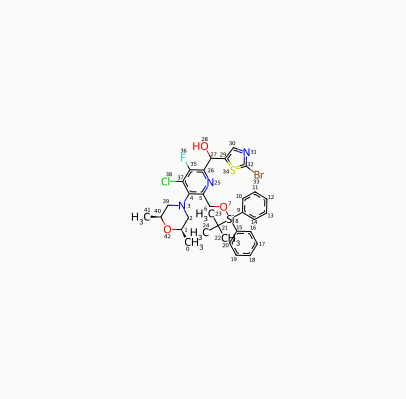 C[C@@H]1CN(c2c(CO[Si](c3ccccc3)(c3ccccc3)C(C)(C)C)nc(C(O)c3cnc(Br)s3)c(F)c2Cl)C[C@H](C)O1